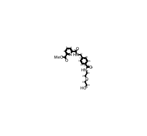 COC(=O)c1cccc(C(=O)NCc2ccc(C(=O)NCCOCCO)cc2)n1